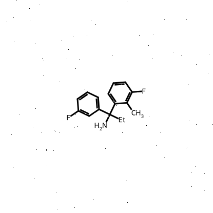 [CH2]CC(N)(c1cccc(F)c1)c1cccc(F)c1C